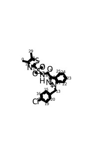 Cc1nc(S(=O)(=O)NC(=O)c2nn(Cc3ccc(Cl)cc3)c3ccccc23)sc1C